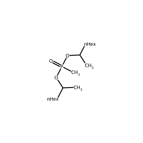 CCCCCCC(C)OP(C)(=O)OC(C)CCCCCC